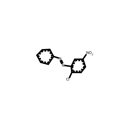 O=[N+]([O-])c1ccc(Cl)c(N=Nc2ccccc2)c1